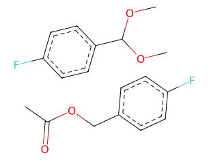 CC(=O)OCc1ccc(F)cc1.COC(OC)c1ccc(F)cc1